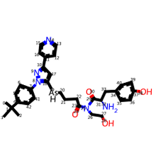 CC(C)(C)c1ccc(-n2nc(-c3ccncc3)cc2[AsH]CCCC(=O)N(CCO)C(=O)[C@@H](N)Cc2ccc(O)cc2)cc1